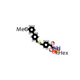 CCCCCCS(=O)(=O)NC(=O)C(=O)c1ccc(CSCc2ccc(-c3cccc(OC)c3)cc2)cc1